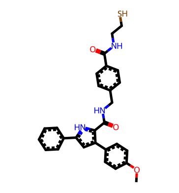 COc1ccc(-c2cc(-c3ccccc3)[nH]c2C(=O)NCc2ccc(C(=O)NCCS)cc2)cc1